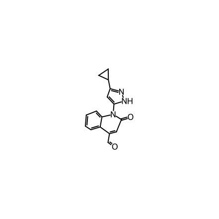 O=Cc1cc(=O)n(-c2cc(C3CC3)n[nH]2)c2ccccc12